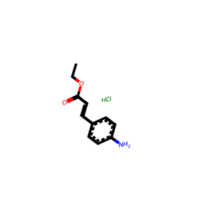 CCOC(=O)C=Cc1ccc(N)cc1.Cl